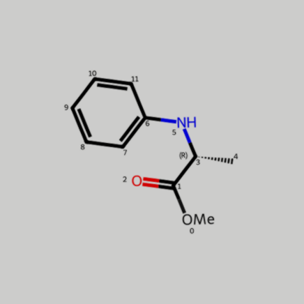 COC(=O)[C@@H](C)Nc1ccccc1